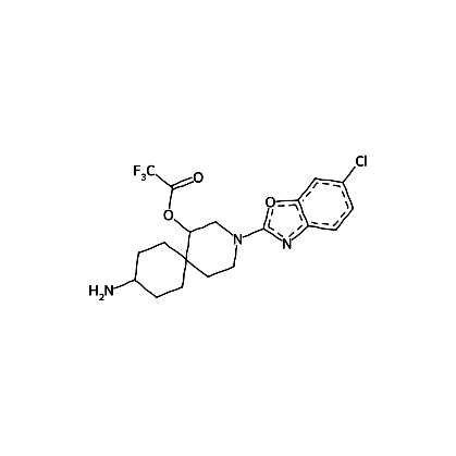 NC1CCC2(CC1)CCN(c1nc3ccc(Cl)cc3o1)CC2OC(=O)C(F)(F)F